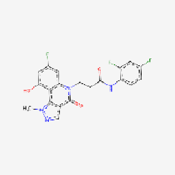 Cn1ncc2c(=O)n(CCC(=O)Nc3ccc(F)cc3F)c3cc(F)cc(O)c3c21